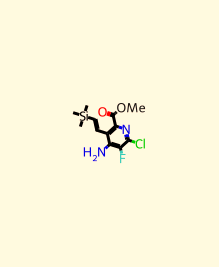 COC(=O)c1nc(Cl)c(F)c(N)c1C=C[Si](C)(C)C